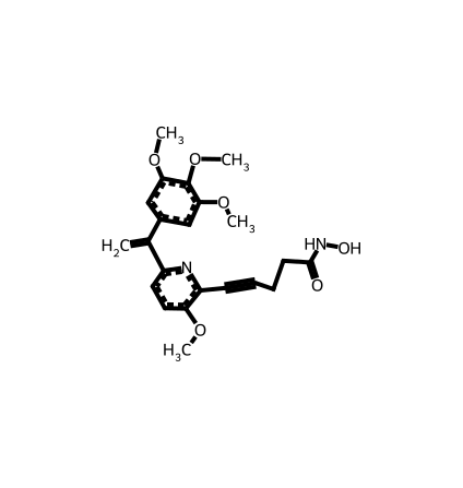 C=C(c1cc(OC)c(OC)c(OC)c1)c1ccc(OC)c(C#CCCC(=O)NO)n1